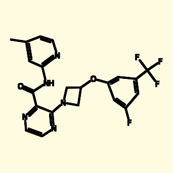 Cc1ccnc(NC(=O)c2nccnc2N2CC(Oc3cc(F)cc(C(F)(F)F)c3)C2)c1